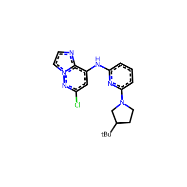 CC(C)(C)C1CCN(c2cccc(Nc3cc(Cl)nn4ccnc34)n2)C1